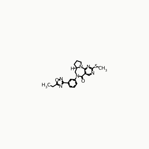 CCc1nc(-c2cccc(N3C[C@@H]4CCCN4c4nc(SC)ncc4C3=O)c2)no1